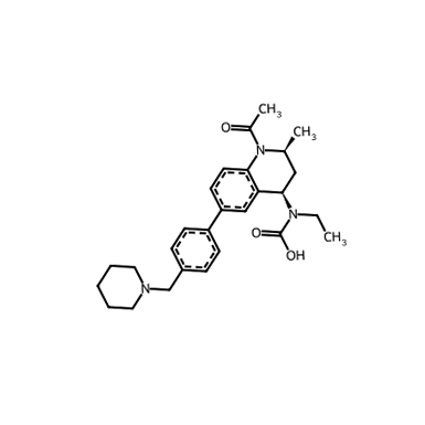 CCN(C(=O)O)[C@@H]1C[C@H](C)N(C(C)=O)c2ccc(-c3ccc(CN4CCCCC4)cc3)cc21